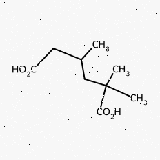 CC(CC(=O)O)CC(C)(C)C(=O)O